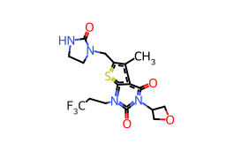 Cc1c(CN2CCNC2=O)sc2c1c(=O)n(C1COC1)c(=O)n2CCC(F)(F)F